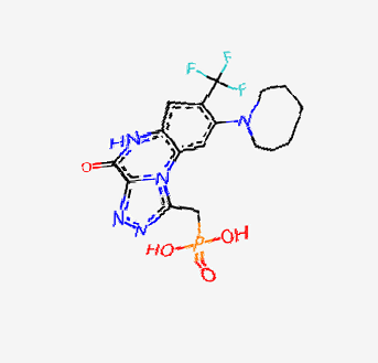 O=c1[nH]c2cc(C(F)(F)F)c(N3CCCCC3)cc2n2c(CP(=O)(O)O)nnc12